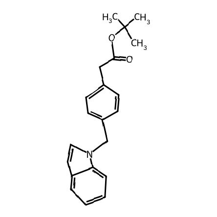 CC(C)(C)OC(=O)Cc1ccc(Cn2ccc3ccccc32)cc1